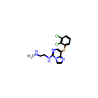 CNCCNc1ncc(Sc2cccc(Cl)c2Cl)c2nccn12